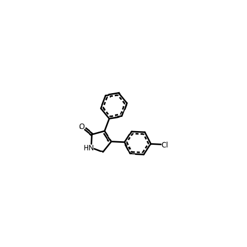 O=C1NCC(c2ccc(Cl)cc2)=C1c1ccccc1